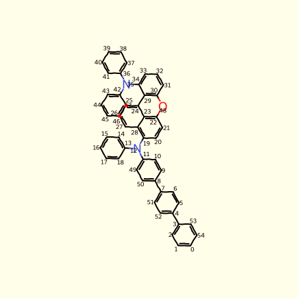 c1ccc(-c2ccc(-c3ccc(N(c4ccccc4)c4ccc5c6c(cccc46)-c4c(cccc4N(c4ccccc4)c4ccccc4)O5)cc3)cc2)cc1